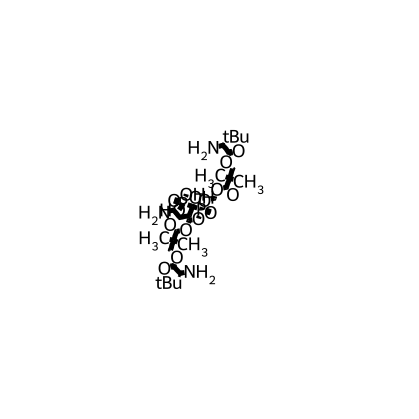 CC(C)(COC(=O)[C@@H](N)C(C)(C)C)C(=O)OCOP(=O)(OCOC(=O)C(C)(C)COC(=O)[C@@H](N)C(C)(C)C)C(O)(CCCN)P(=O)(O)O